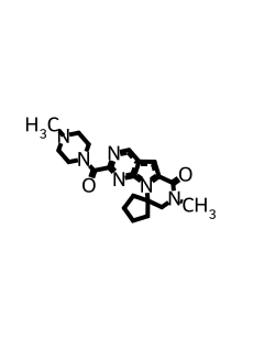 CN1CCN(C(=O)c2ncc3cc4n(c3n2)C2(CCCC2)CN(C)C4=O)CC1